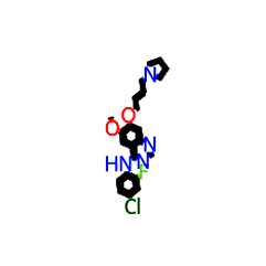 COc1cc2c(Nc3ccc(Cl)cc3F)ncnc2cc1OCC=CCN1CCCC1